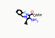 COC(=O)c1nn(Cc2ccccc2F)c(C2CC2)c1N